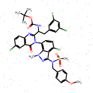 COc1ccc(CN(c2nn(C)c3c(-n4c(C(Cc5cc(F)cc(F)c5)NC(=O)OC(C)(C)C)nc5ccc(F)cc5c4=O)ccc(Cl)c23)S(C)(=O)=O)cc1